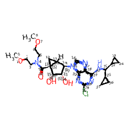 COCCN(CCOC)C(=O)[C@@]12C[C@@H]1[C@@H](n1cnc3c(NC(C4CC4)C4CC4)nc(Cl)nc31)[C@H](O)[C@@H]2O